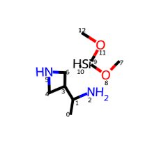 CC(N)C1CNC1.CO[SiH](C)OC